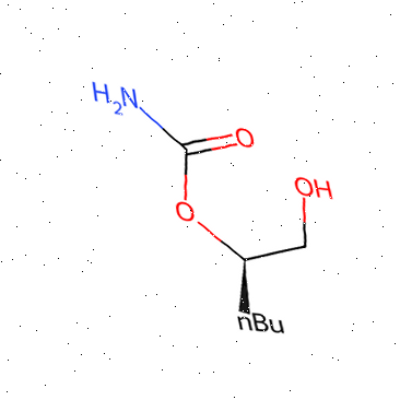 CCCC[C@H](CO)OC(N)=O